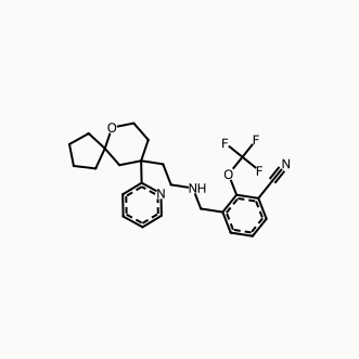 N#Cc1cccc(CNCCC2(c3ccccn3)CCOC3(CCCC3)C2)c1OC(F)(F)F